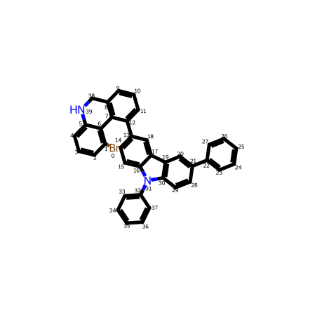 Brc1cccc2c1-c1c(cccc1-c1ccc3c(c1)c1cc(-c4ccccc4)ccc1n3-c1ccccc1)CN2